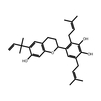 C=CC(C)(C)c1cc2c(cc1O)OC(c1cc(CC=C(C)C)c(O)c(O)c1CC=C(C)C)CC2